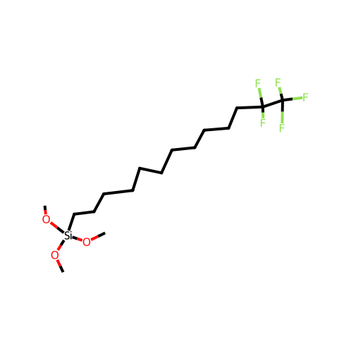 CO[Si](CCCCCCCCCCCC(F)(F)C(F)(F)F)(OC)OC